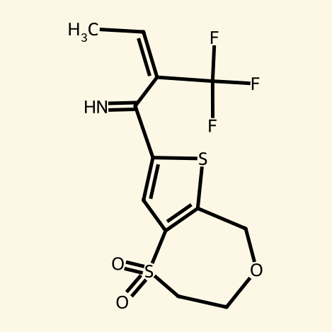 C/C=C(\C(=N)c1cc2c(s1)COCCS2(=O)=O)C(F)(F)F